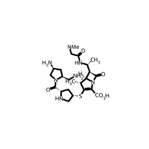 CNCC(=O)N[C@H](C)[C@H]1C(=O)N2C(C(=O)O)=C(S[C@@H]3CN[C@H](C(=O)N4C[C@@H](N)C[C@H]4CN)C3)[C@H](C)[C@@H]12